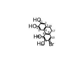 Oc1cc2c(cc1O)-c1c(cc(Br)c(O)c1O)CC2